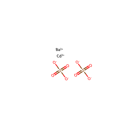 O=S(=O)([O-])[O-].O=S(=O)([O-])[O-].[Ba+2].[Cd+2]